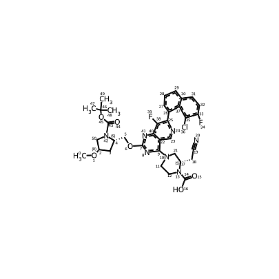 CO[C@@H]1C[C@@H](COc2nc(N3CCN(C(=O)O)[C@@H](CC#N)C3)c3cnc(-c4cccc5ccc(F)c(Cl)c45)c(F)c3n2)N(C(=O)OC(C)(C)C)C1